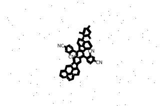 Cc1cc(C)c(-c2ccc3c4c(-c5ccc(C#N)cc5C#N)c5cc6c(cc5c(-c5ccc(C#N)cc5C#N)c4c4cccc2c43)c2ccc3ccc4cccc5cc6c2c3c45)c(C)c1